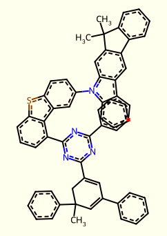 CC1(c2ccccc2)C=C(c2ccccc2)C=C(c2nc(-c3ccccc3)nc(-c3cccc4sc5ccc(-n6c7ccccc7c7cc8c(cc76)C(C)(C)c6ccccc6-8)cc5c34)n2)C1